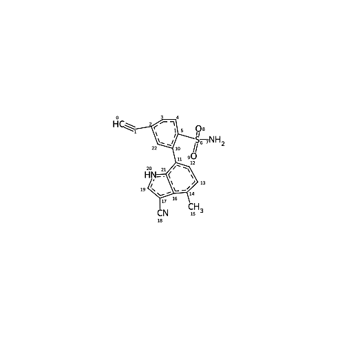 C#Cc1ccc(S(N)(=O)=O)c(-c2ccc(C)c3c(C#N)c[nH]c23)c1